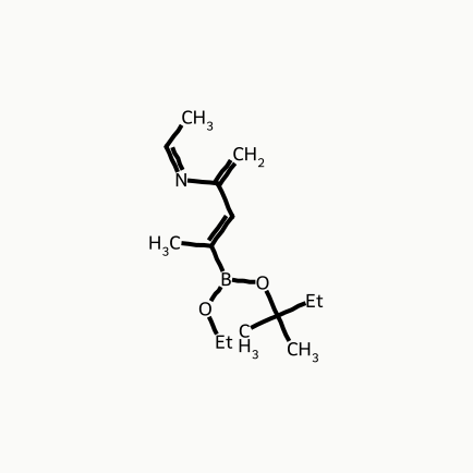 C=C(/C=C(\C)B(OCC)OC(C)(C)CC)/N=C\C